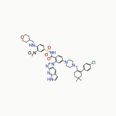 CC1(C)CCC(CN2CCN(c3ccc(C(=O)NS(=O)(=O)c4ccc(NCC5CCOCC5)c([N+](=O)[O-])c4)c(-n4cnc5nc6[nH]ccc6cc54)c3)CC2)=C(c2ccc(Cl)cc2)C1